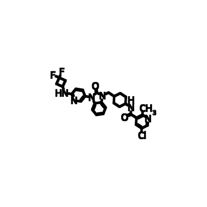 Cc1ncc(Cl)cc1C(=O)NC1CCC(Cn2c(=O)n(-c3ccc(NC4CC(F)(F)C4)nc3)c3ccccc32)CC1